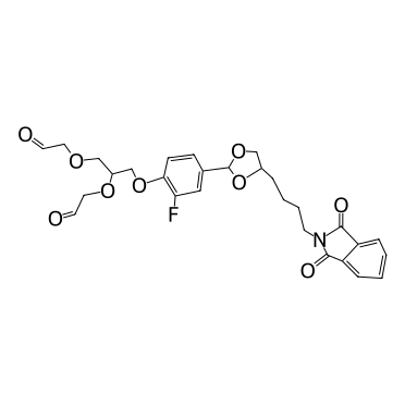 O=CCOCC(COc1ccc(C2OCC(CCCCN3C(=O)c4ccccc4C3=O)O2)cc1F)OCC=O